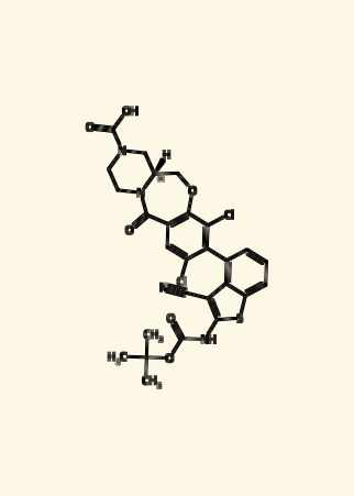 CC(C)(C)OC(=O)Nc1sc2cccc(-c3c(Cl)cc4c(c3Cl)OC[C@H]3CN(C(=O)O)CCN3C4=O)c2c1C#N